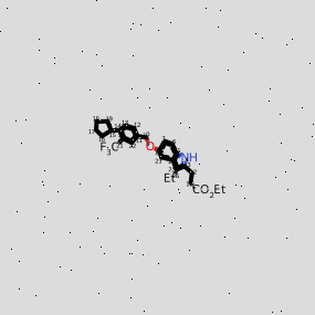 CCOC(=O)CCc1[nH]c2ccc(OCc3ccc(C4CCCC4)c(C(F)(F)F)c3)cc2c1CC